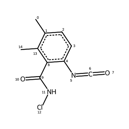 Cc1ccc(N=C=O)c(C(=O)NCl)c1C